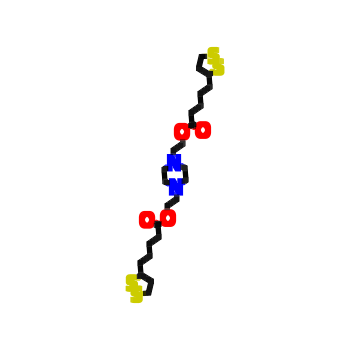 O=C(CCCCC1CCSS1)OCCN1CCN(CCOC(=O)CCCCC2CCSS2)CC1